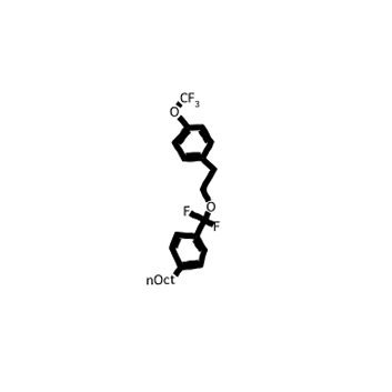 CCCCCCCCc1ccc(C(F)(F)OCCc2ccc(OC(F)(F)F)cc2)cc1